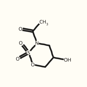 CC(=O)N1CC(O)COS1(=O)=O